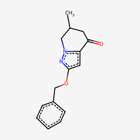 CC1CC(=O)c2cc(OCc3ccccc3)nn2C1